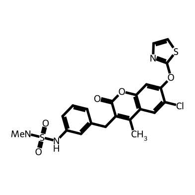 CNS(=O)(=O)Nc1cccc(Cc2c(C)c3cc(Cl)c(Oc4nccs4)cc3oc2=O)c1